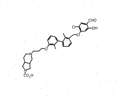 Cc1c(COc2cc(O)c(C=O)cc2Cl)cccc1-c1cccc(OCCCN2CCC3CN(C(=O)O)CC3C2)c1C